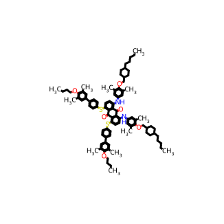 CCCCCC1CCC(COc2c(C)cc(Nc3ccc(Sc4ccc(-c5cc(C)c(OCCCC)c(C)c5)cc4)c4c3C(=O)c3c(Nc5cc(C)c(OCC6CCC(CCCCC)CC6)c(C)c5)ccc(Sc5ccc(-c6cc(C)c(OCCCC)c(C)c6)cc5)c3C4=O)cc2C)CC1